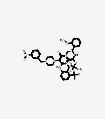 COc1ccccc1[C@H](Cn1c(=O)c(N2CCN(Cc3cccc([N+](=O)[O-])c3)CC2)c(C)n(Cc2c(F)cccc2C(F)(F)F)c1=O)NC(=O)OC(C)(C)C